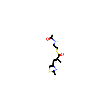 CC(=O)NCCSC(=O)/C(C)=C/c1csc(C)n1